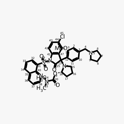 COc1cc(CN2CCCC2)ccc1C1(N2CCC[C@@H]2OC(=O)N(C)C)C(=O)N(S(=O)(=O)c2cccc3cccnc23)c2ccc(Cl)cc21